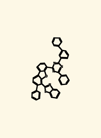 c1ccc(-c2cccc(-c3nc(-c4ccccc4)nc(-c4cccc5c4oc4c(-c6nc7ccccc7s6)c(-c6ccccc6)ccc45)n3)c2)cc1